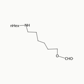 CCCCCCNCCCCCCO[C]=O